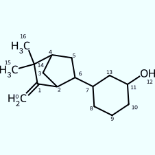 C=C1C2CC(CC2C2CCCC(O)C2)C1(C)C